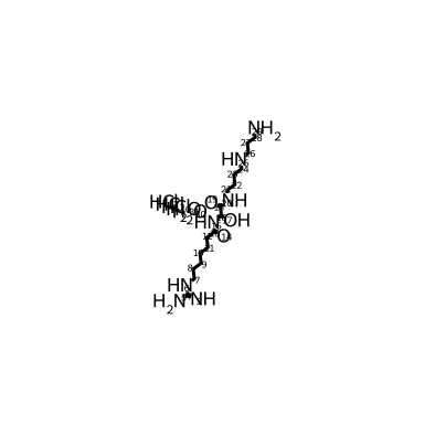 Cl.Cl.Cl.N=C(N)NCCCCCCC(=O)NC(O)C(=O)NCCCCNCCCN.O.O